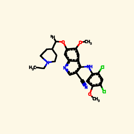 [2H]C(Oc1cc2ncc(C#N)c(Nc3cc(OC)c(Cl)cc3Cl)c2cc1OC)C1CCN(CC)CC1